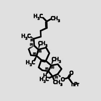 CCCC(=O)O[C@H]1CC[C@]2(C)C3=C(CC[C@H]2C1(C)C)[C@]1(C)CC[C@H]([C@H](C)CCC=C(C)C)[C@@]1(C)CC3